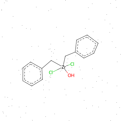 [OH][Zr]([Cl])([Cl])([CH2]c1ccccc1)[CH2]c1ccccc1